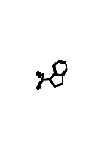 O=[SH](=O)C1CCc2ccccc21